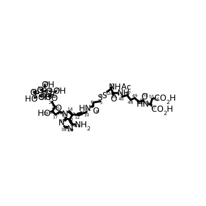 CC(=O)NC(CSSCCC(=O)NCC#Cc1cn(C2CC(O)C(COP(=O)(O)OP(=O)(O)OP(=O)(O)O)O2)c2ncnc(N)c12)C(=O)NCCCCCC(=O)NC(CC(=O)O)C(=O)O